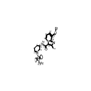 CCCS(=O)(=O)N1CCC[C@H](NC(=O)c2c(C)nc3c(OCC)cccn23)C1